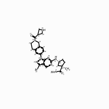 CNC(=O)[C@]1(C)CC[C@@H](Nc2ncc3c(Br)nn(-c4ccc5c(c4)CCN(C(=O)C4CNC4)C5)c3n2)C1